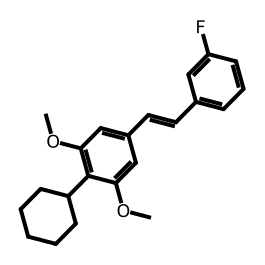 COc1cc(/C=C/c2cccc(F)c2)cc(OC)c1C1CCCCC1